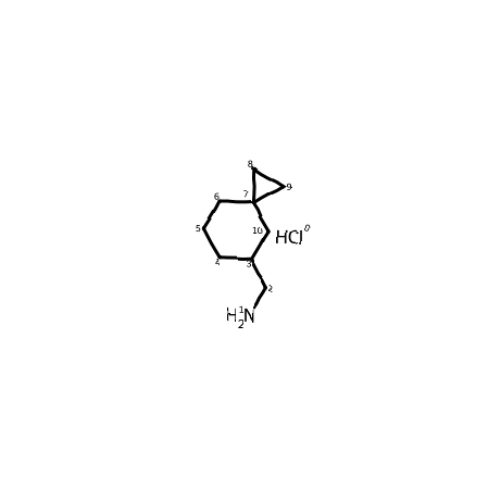 Cl.NCC1CCCC2(CC2)C1